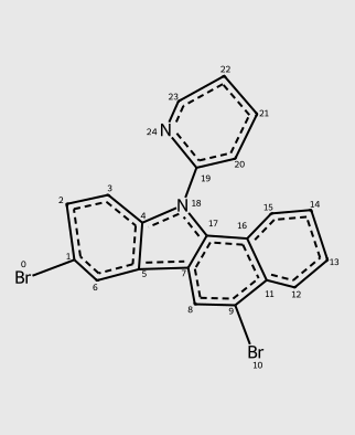 Brc1ccc2c(c1)c1cc(Br)c3ccccc3c1n2-c1ccccn1